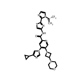 C[C@H](n1ccnc1-c1nc(NC(=O)c2cc(-n3cnc(C4CC4)c3)c(N3CC(N4CCOCC4)C3)cn2)cs1)C(F)(F)F